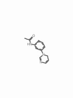 CC(=O)Nc1cccc(N2C=NC=CC2)c1